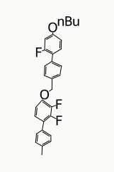 CCCCOc1ccc(-c2ccc(COc3ccc(-c4ccc(C)cc4)c(F)c3F)cc2)c(F)c1